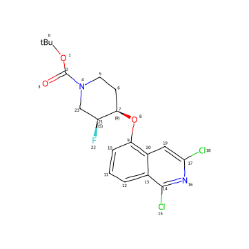 CC(C)(C)OC(=O)N1CC[C@@H](Oc2cccc3c(Cl)nc(Cl)cc23)[C@@H](F)C1